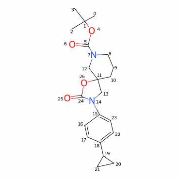 CC(C)(C)OC(=O)N1CCCC2(C1)CN(c1ccc(C3CC3)cc1)C(=O)O2